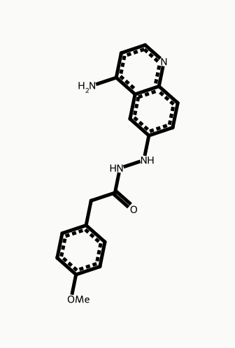 COc1ccc(CC(=O)NNc2ccc3nccc(N)c3c2)cc1